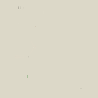 CCCCCC(Cl)C(=O)OCSC(C)(C)C